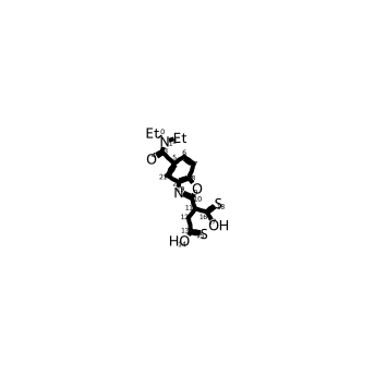 CCN(CC)C(=O)c1ccc2oc(C(CC(O)=S)C(O)=S)nc2c1